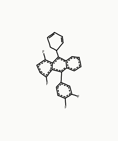 Fc1ccc(-c2c3ccccc3c(C3C=CC=CC3)c3c(F)ccc(F)c23)cc1F